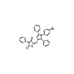 O=C1SC(=Cc2cc(-c3ccccc3)n(-c3ccc(Br)cc3)c2-c2ccccc2)C(=O)N1c1ccccc1